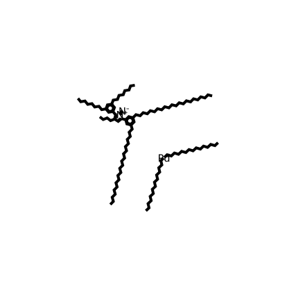 CCCCCCCCCCCCCCCCCCCCCCc1cc(CCCCCCCCCCCCCCCCCCCCCC)cc(C2=CC(CCCC)=C(c3cc(CCCCCCCC)cc(CCCCCCCC)c3)[N+]2=[N-])c1.CCCCCCCCCCCCCC[CH2][Pd][CH2]CCCCCCCCCCCCCC